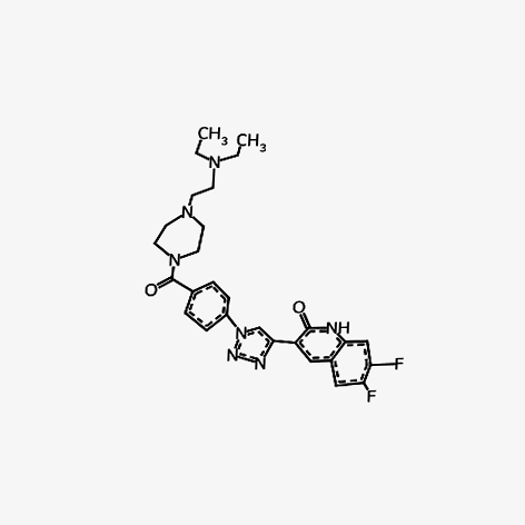 CCN(CC)CCN1CCN(C(=O)c2ccc(-n3cc(-c4cc5cc(F)c(F)cc5[nH]c4=O)nn3)cc2)CC1